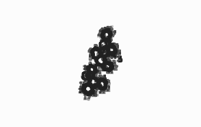 C[C@]12C=CC=CC1C(c1ccc3oc4c5ccccc5c5ccccc5c4c3c1)=c1ccccc1=C2c1cccc2c1oc1ccccc12